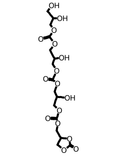 O=C(OCC(O)CO)OCC(O)COC(=O)OCC(O)COC(=O)OCC1COC(=O)O1